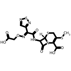 CSC1=C(C(=O)O)N2C(=O)C(NC(=O)C(=NOCC(=O)O)c3cnsn3)[C@@H]2SC1